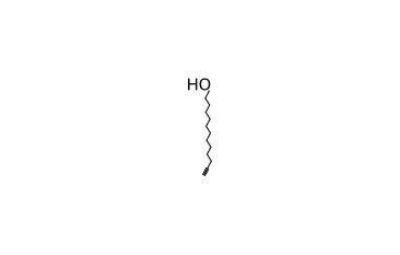 C#CCCCCCCCCCCCO